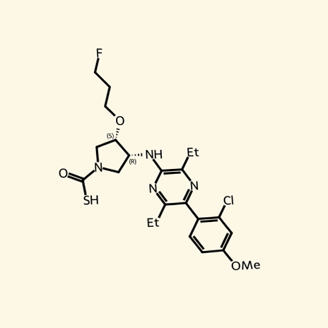 CCc1nc(-c2ccc(OC)cc2Cl)c(CC)nc1N[C@@H]1CN(C(=O)S)C[C@@H]1OCCCF